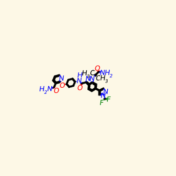 CC(C)(C(N)=O)n1nc(C(=O)N[C@H]2CC[C@H](Oc3ncccc3C(N)=O)CC2)c2ccc(-c3cnn(C(F)F)c3)cc21